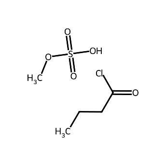 CCCC(=O)Cl.COS(=O)(=O)O